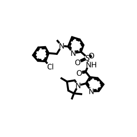 CC1CN(c2ncccc2C(=O)NS(=O)(=O)c2cccc(N(C)Cc3ccccc3Cl)n2)C(C)(C)C1